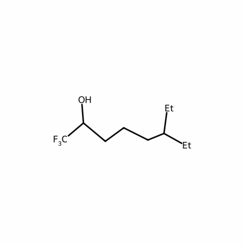 CCC(CC)CCCC(O)C(F)(F)F